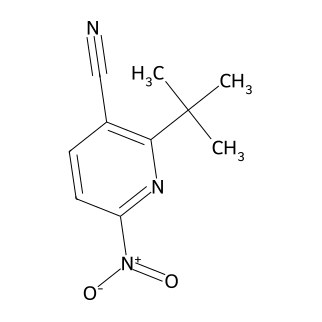 CC(C)(C)c1nc([N+](=O)[O-])ccc1C#N